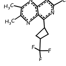 Cc1nc2cc(Cl)nc(C3CC(C(F)(F)F)C3)c2nc1C